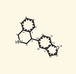 c1ccc2c(c1)CNCC2c1ccc2occc2c1